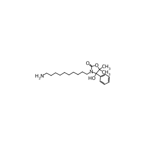 CC1(C)OC(=O)N(CCCCCCCCCCN)C1(O)c1ccccc1